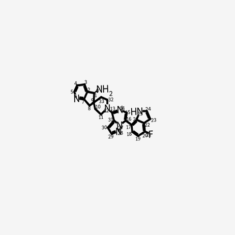 N[C@@H]1c2cccnc2CC12CCN(c1ncc(-c3ccc(F)c4cc[nH]c34)n3nccc13)CC2